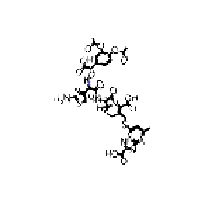 CC(=O)Oc1ccc([C@H](O/N=C(\C(=O)N[C@@H]2C(=O)N3C(C(=O)O)=C(CSc4cc(C)nc5nc(C(=O)O)nn45)CS[C@H]23)c2csc(N)n2)C(=O)O)cc1OC(C)=O